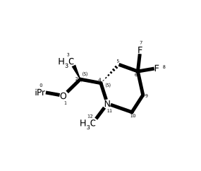 CC(C)O[C@@H](C)[C@@H]1CC(F)(F)CCN1C